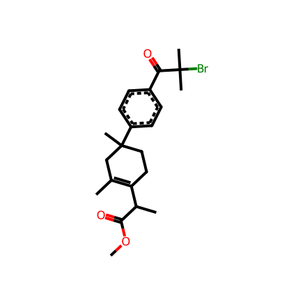 COC(=O)C(C)C1=C(C)CC(C)(c2ccc(C(=O)C(C)(C)Br)cc2)CC1